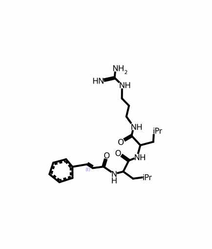 CC(C)CC(NC(=O)/C=C/c1ccccc1)C(=O)NC(CC(C)C)C(=O)NCCCNC(=N)N